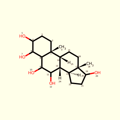 C[C@]12CCC(O)C(O)C1C(O)C(O)[C@@H]1[C@H]2CC[C@]2(C)C(O)CC[C@@H]12